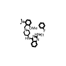 CCNc1nc(NC2CCN(Cc3c(OC)cccc3N(C)C)CC2)c2ccccc2n1.Fc1ccccc1